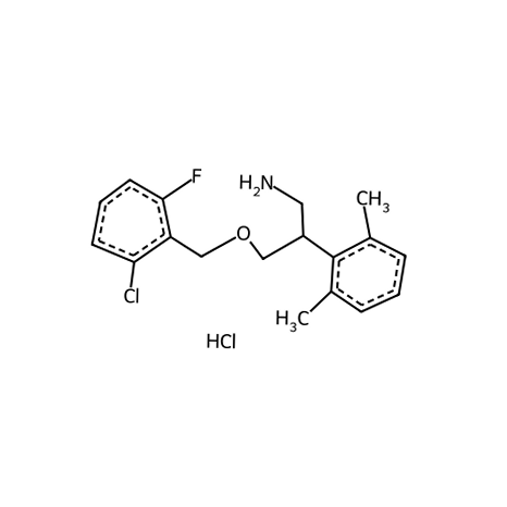 Cc1cccc(C)c1C(CN)COCc1c(F)cccc1Cl.Cl